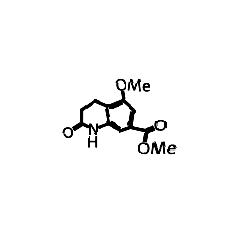 COC(=O)c1cc2c(c(OC)c1)CCC(=O)N2